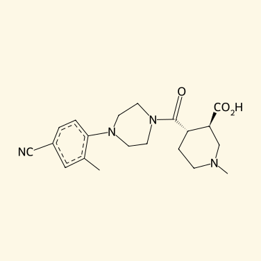 Cc1cc(C#N)ccc1N1CCN(C(=O)[C@H]2CCN(C)C[C@@H]2C(=O)O)CC1